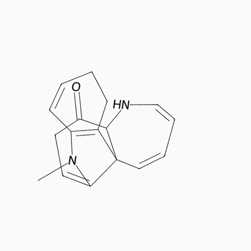 CN1C2=CCC(=O)C3NC=CC=CC23C2=C1C=CCC2